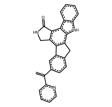 C=C(c1ccc2c(c1)-c1c3c(c4c([nH]c5ccccc54)c1C2)C(=O)NC3)c1ccccn1